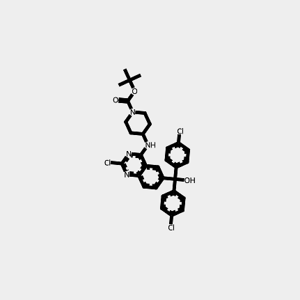 CC(C)(C)OC(=O)N1CCC(Nc2nc(Cl)nc3ccc(C(O)(c4ccc(Cl)cc4)c4ccc(Cl)cc4)cc23)CC1